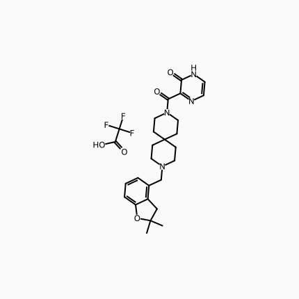 CC1(C)Cc2c(CN3CCC4(CC3)CCN(C(=O)c3ncc[nH]c3=O)CC4)cccc2O1.O=C(O)C(F)(F)F